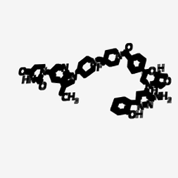 CCc1cn(C2CCN(CC3(F)CCN(C(=O)c4ccc([C@@H]5CN(c6cc(-c7ccccc7O)nnc6N)[C@@H]6COC[C@@H]6O5)cc4)CC3)CC2)c2ncc(N3CCC(=O)NC3=O)cc12